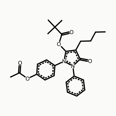 CCCCc1c(OC(=O)C(C)(C)C)n(-c2ccc(OC(C)=O)cc2)n(-c2ccccc2)c1=O